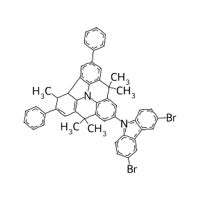 CC1C(c2ccccc2)=CC2=C3C1c1cc(-c4ccccc4)cc4c1N3c1c(cc(-n3c5ccc(Br)cc5c5cc(Br)ccc53)cc1C4(C)C)C2(C)C